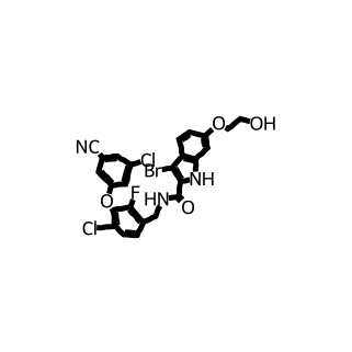 N#Cc1cc(Cl)cc(Oc2c(Cl)ccc(CNC(=O)c3[nH]c4cc(OCCO)ccc4c3Br)c2F)c1